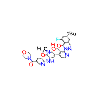 Cn1cc(-c2ccnc(-n3ncc4cc(C(C)(C)C)cc(F)c4c3=O)c2CO)cc(Nc2ccc(C(=O)N3CCOCC3)cn2)c1=O